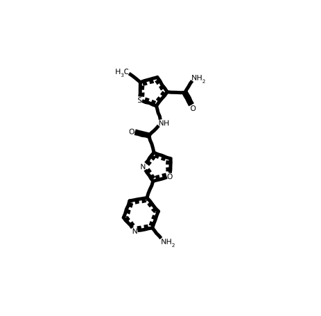 Cc1cc(C(N)=O)c(NC(=O)c2coc(-c3ccnc(N)c3)n2)s1